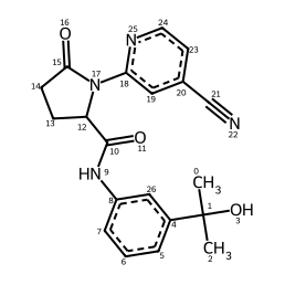 CC(C)(O)c1cccc(NC(=O)C2CCC(=O)N2c2cc(C#N)ccn2)c1